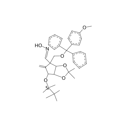 C=C1C(O[Si](C)(C)C(C)(C)C)C2OC(C)(C)OC2C1(C=NO)COC(c1ccccc1)(c1ccccc1)c1ccc(OC)cc1